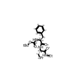 CCNC(=O)[C@H](CC(C)C)NC(=O)[C@H](Cc1ccccc1)NC(=O)OC(C)(C)C